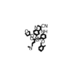 Cc1ccccc1COc1ccc(Nc2c(C#N)cnc3cc(OC4CCOC4)c(NC(=O)/C=C/CN(C)C)cc23)cc1Cl